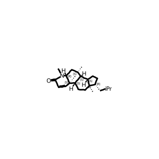 CC(C)C[C@H]1CC[C@H]2[C@@H]3[C@@H](C)C[C@H]4N(C)C(=O)C=C[C@]4(C)[C@H]3CC[C@]12C